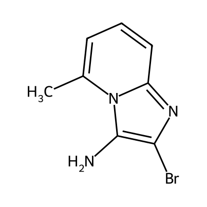 Cc1cccc2nc(Br)c(N)n12